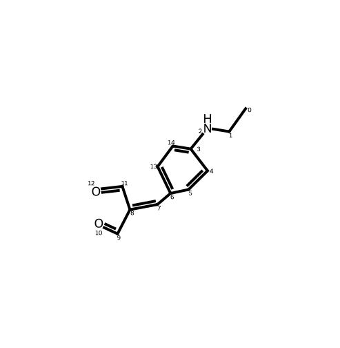 CCNc1ccc(C=C(C=O)C=O)cc1